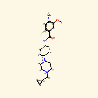 COc1cc(C(=O)N[C@H]2CC[C@H](N3CCN(CC4CC4)CC3)CC2)c(F)cc1N